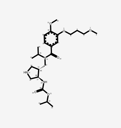 COCCCOc1cc(C(=O)N(C[C@H]2CNC[C@@H]2NC(=O)OC(C)C)C(C)C)ccc1OC